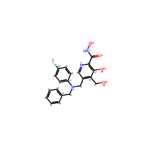 O=C(NO)c1ncc(CN(Cc2ccccc2)c2ccc(F)cc2)c(CO)c1O